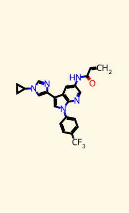 C=CC(=O)Nc1cnc2c(c1)c(-c1cn(C3CC3)cn1)cn2-c1ccc(C(F)(F)F)cc1